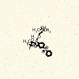 CC(O)(c1nc2cc(S(=O)(=O)c3ccccc3)ccc2n1COCC[Si](C)(C)C)C(F)(F)F